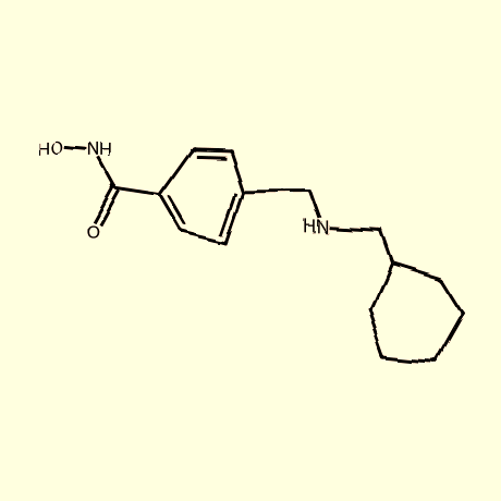 O=C(NO)c1ccc(CNCC2CCCCC2)cc1